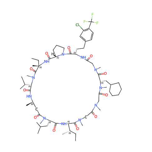 CC[C@H](C)[C@@H]1NC(=O)[C@H](CC(C)C)N(C)C(=O)C[C@@H](C)NC(=O)[C@H](C(C)C)N(C)C(=O)[C@](C)(CC)NC(=O)[C@@H]2CCCN2C(=O)[C@H](CCc2ccc(C(F)(F)F)c(Cl)c2)NC(=O)CN(C)C(=O)[C@H](CC2CCCCC2)N(C)C(=O)CN(C)C(=O)CN(C)C1=O